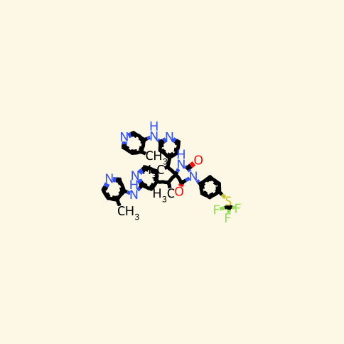 Cc1ccncc1Nc1cc(C(C)C2(C(C)c3ccnc(Nc4cnccc4C)c3)NC(=O)N(c3ccc(SC(F)(F)F)cc3)C2=O)ccn1